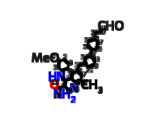 COc1cccc(Nc2c(C(N)=O)cnc3c(C)cc(Cc4cccc(-c5ccc(CCC=O)cc5)c4)cc23)c1